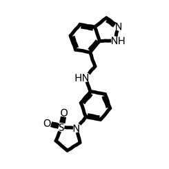 O=S1(=O)CCCN1c1cccc(NCc2cccc3cn[nH]c23)c1